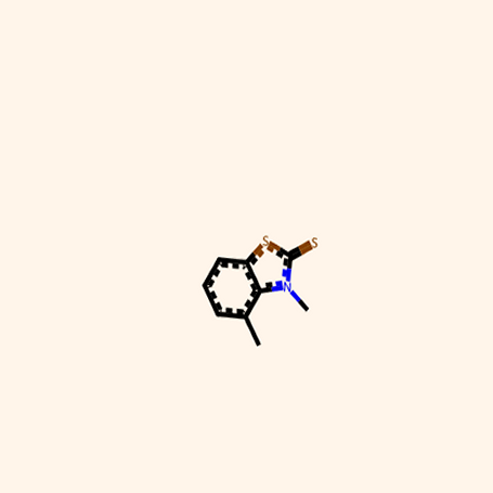 Cc1cccc2sc(=S)n(C)c12